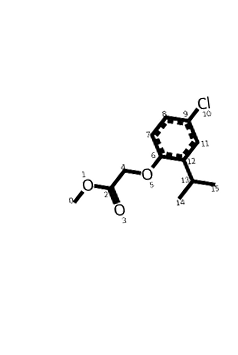 COC(=O)COc1ccc(Cl)cc1C(C)C